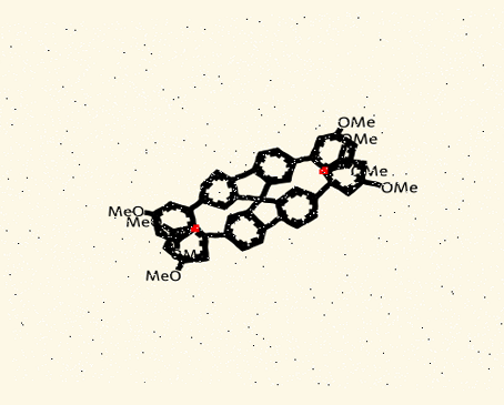 COc1cc(OC)cc(-c2ccc3c(c2)C2(c4cc(-c5cc(OC)cc(OC)c5)ccc4-3)c3cc(-c4cc(OC)cc(OC)c4)ccc3-c3ccc(-c4cc(OC)cc(OC)c4)cc32)c1